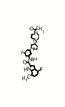 CC(=O)N1CCN([C@H]2CCN(c3cc(F)cc(NC(=O)c4cc5c(F)ccc(C)c5[nH]4)c3)C2)CC1